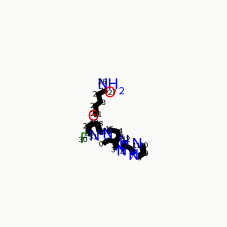 CC1c2cnc(-c3ncccn3)nc2CCN1c1cc(OCCCCC(N)=O)cc(F)n1